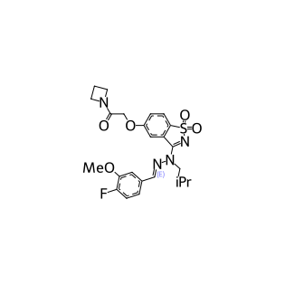 COc1cc(/C=N/N(CC(C)C)C2=NS(=O)(=O)c3ccc(OCC(=O)N4CCC4)cc32)ccc1F